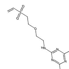 C=CS(=O)(=O)CCOCCNc1nc(C)nc(Cl)n1